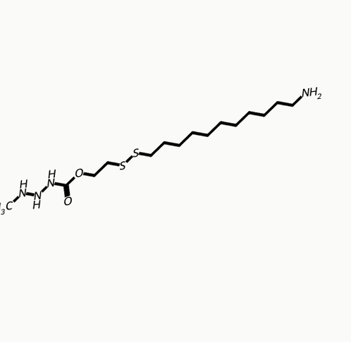 CNNNC(=O)OCCSSCCCCCCCCCCCN